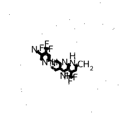 C=C1CC(C(F)(F)F)C(C(=N)C2CCN(c3cc(C(F)(F)F)c(C#N)cn3)CC2)=C(N)N1